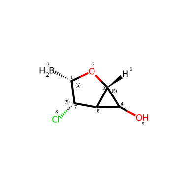 B[C@@H]1O[C@@H]2C(O)C2[C@@H]1Cl